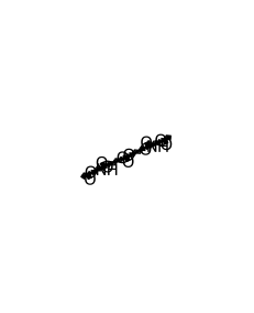 C=CC(=O)OCCNC(=O)OCCCCOC(=O)OCCCCOC(=O)NCCOC(=O)C=C